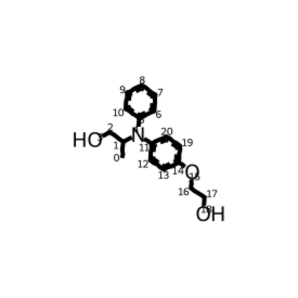 CC(CO)N(c1ccccc1)c1ccc(OCCO)cc1